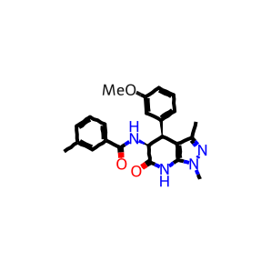 COc1cccc([C@H]2c3c(C)nn(C)c3NC(=O)[C@H]2NC(=O)c2cccc(C)c2)c1